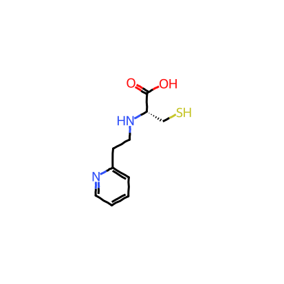 O=C(O)[C@H](CS)NCCc1ccccn1